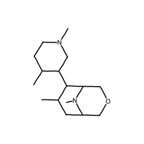 CC1CCN(C)CC1C1C(C)CC2COCC1N2C